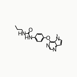 CCCNC(=O)Nc1ccc(Oc2ncnc3ccn(C)c23)cc1